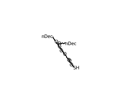 CCCCCCCCCCCCCCOCC(COCCOCCOCCCCOOCCOCCS)OCCCCCCCCCCCCCC